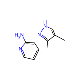 Cc1c[nH]nc1C.Nc1ccccn1